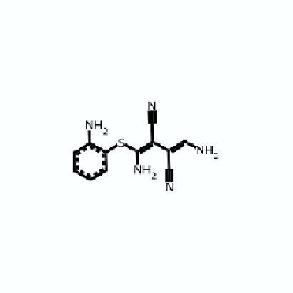 N#CC(=CN)C(C#N)=C(N)Sc1ccccc1N